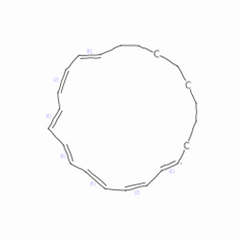 [C]1=C/C=C\C=C\C=C\C=C\C=C/C=C/CCCCCCCC/1